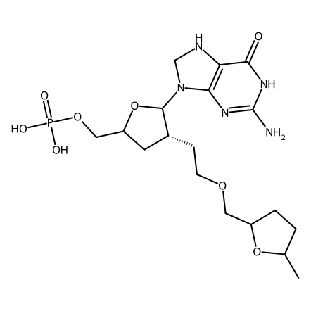 CC1CCC(COCC[C@@H]2CC(COP(=O)(O)O)OC2N2CNc3c2nc(N)[nH]c3=O)O1